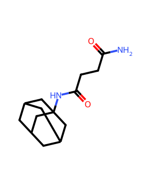 NC(=O)CCC(=O)NC12CC3CC(CC(C3)C1)C2